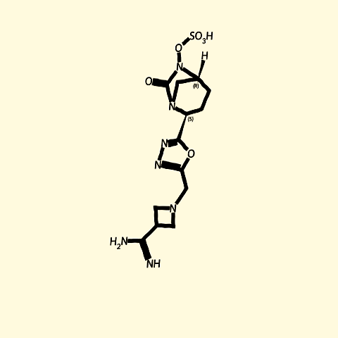 N=C(N)C1CN(Cc2nnc([C@@H]3CC[C@@H]4CN3C(=O)N4OS(=O)(=O)O)o2)C1